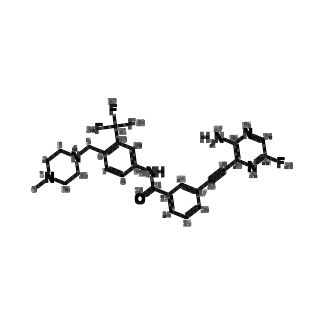 CN1CCN(Cc2ccc(NC(=O)c3cccc(C#Cc4nc(F)cnc4N)c3)cc2C(F)(F)F)CC1